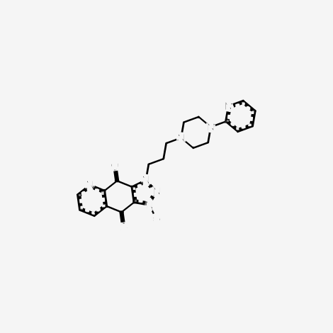 O=C1c2ncccc2C(=O)c2c1n(CCCN1CCN(c3ccccn3)CC1)n[n+]2[O-]